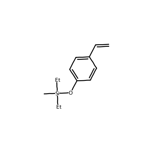 C=Cc1ccc(O[Si](C)(CC)CC)cc1